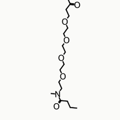 CCCC(=O)N(C)CCOCCOCCOCCOCCC(C)=O